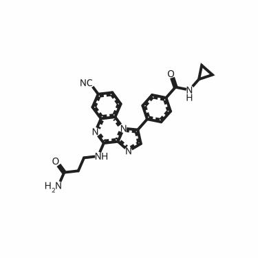 N#Cc1ccc2c(c1)nc(NCCC(N)=O)c1ncc(-c3ccc(C(=O)NC4CC4)cc3)n12